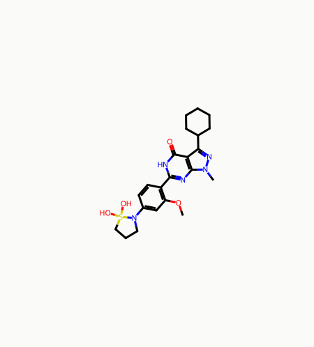 COc1cc(N2CCCS2(O)O)ccc1-c1nc2c(c(C3CCCCC3)nn2C)c(=O)[nH]1